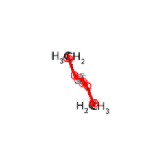 C=C(C)C(=O)OCCCCCCCCCCCCCCOc1ccc(C(=O)Oc2c(F)c(F)c(OC(=O)c3ccc(OCCCCCCCCCCCCCCOC(=O)C(=C)C)cc3)c(F)c2F)cc1